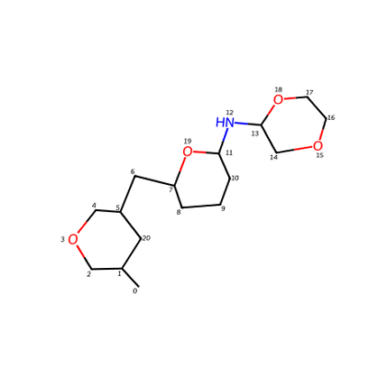 CC1COCC(CC2CCCC(NC3COCCO3)O2)C1